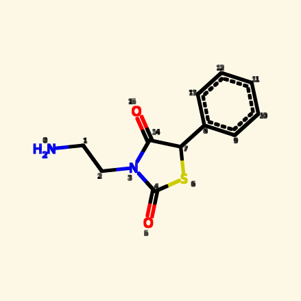 NCCN1C(=O)SC(c2ccccc2)C1=O